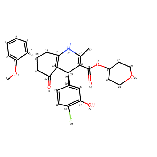 COc1ccccc1[C@H]1CC(=O)C2=C(C1)NC(C)=C(C(=O)OC1CCOCC1)[C@H]2c1ccc(F)c(O)c1